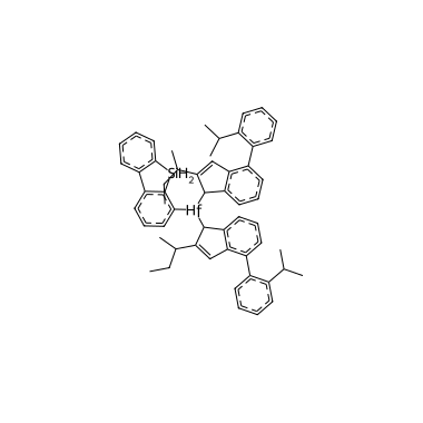 CCC(C)C1=Cc2c(-c3ccccc3C(C)C)cccc2[CH]1[Hf]([c]1cccc2c1[SiH2]c1ccccc1-2)[CH]1C(C(C)CC)=Cc2c(-c3ccccc3C(C)C)cccc21